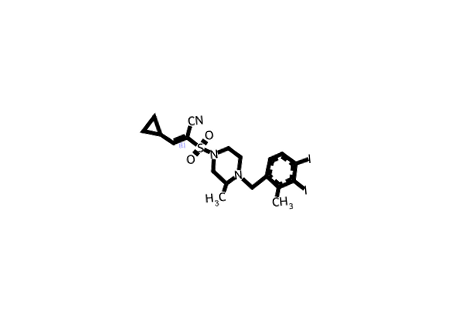 Cc1c(CN2CCN(S(=O)(=O)/C(C#N)=C/C3CC3)CC2C)ccc(I)c1I